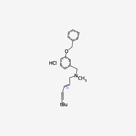 CN(C/C=C/C#CC(C)(C)C)Cc1cccc(OCc2ccccc2)c1.Cl